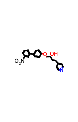 O=[N+]([O-])c1cccc(-c2ccc(OCC(O)CCc3ccncc3)cc2)c1